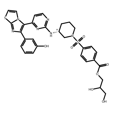 O=C(OCC(O)CO)c1ccc(S(=O)(=O)N2CCC[C@@H](Nc3nccc(-c4c(-c5cccc(O)c5)nc5sccn45)n3)C2)cc1